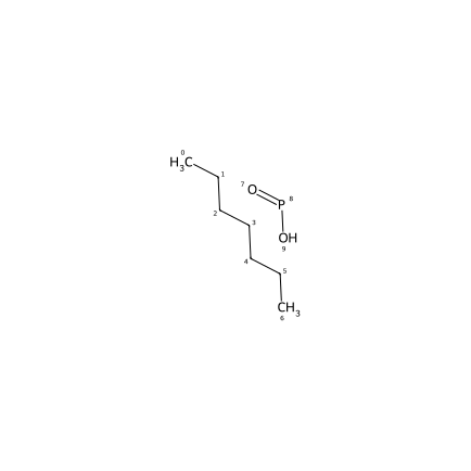 CCCCCCC.O=PO